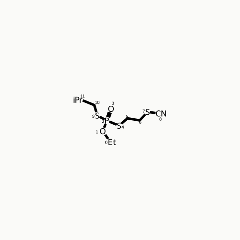 CCOP(=O)(SCCSC#N)SCC(C)C